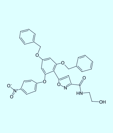 O=C(NCCO)c1cc(-c2c(OCc3ccccc3)cc(OCc3ccccc3)cc2Oc2ccc([N+](=O)[O-])cc2)on1